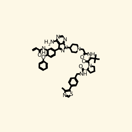 C=CC(=O)Nc1cc(-c2nn(C3CCN(CC(=O)N[C@@H](C(=O)N4CCC[C@@H]4C(=O)NCc4ccc(-c5scnc5C)cc4)C(C)(C)C)CC3)c3ncnc(N)c23)ccc1Oc1ccccc1